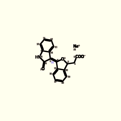 O=C([O-])CC1O/C(=C2/C(=O)Nc3ccccc32)c2ccccc21.[Na+]